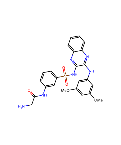 COc1cc(Nc2nc3ccccc3nc2NS(=O)(=O)c2cccc(NC(=O)CN)c2)cc(OC)c1